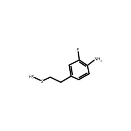 Nc1ccc(CCSS)cc1F